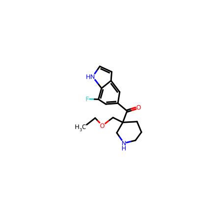 CCOCC1(C(=O)c2cc(F)c3[nH]ccc3c2)CCCNC1